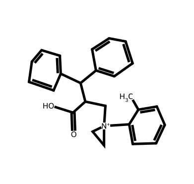 Cc1ccccc1[N+]1(CC(C(=O)O)C(c2ccccc2)c2ccccc2)CC1